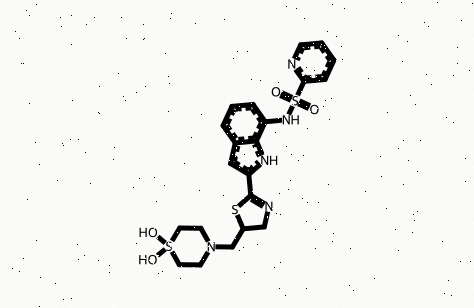 O=S(=O)(Nc1cccc2cc(C3=NCC(CN4CCS(O)(O)CC4)S3)[nH]c12)c1ccccn1